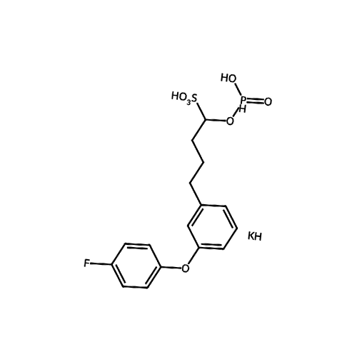 O=[PH](O)OC(CCCc1cccc(Oc2ccc(F)cc2)c1)S(=O)(=O)O.[KH]